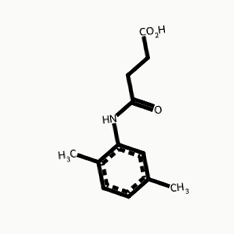 Cc1ccc(C)c(NC(=O)CCC(=O)O)c1